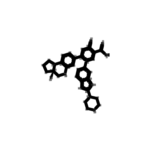 O=C(O)c1cn(-c2ccc3nc(N4CCOCC4)sc3c2)c(-c2ccc3c(c2)OC[C@H]2CCCN32)cc1=O